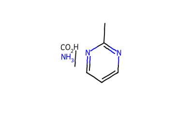 CC(=O)O.Cc1ncccn1.N